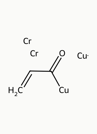 C=C[C](=O)[Cu].[Cr].[Cr].[Cu]